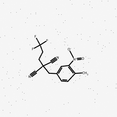 Cc1ccc(CC(C#N)(C#N)CCC(F)(F)F)cc1[N+](=O)[O-]